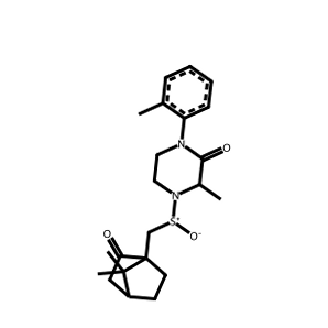 Cc1ccccc1N1CCN([S+]([O-])CC23CCC(CC2=O)C3(C)C)C(C)C1=O